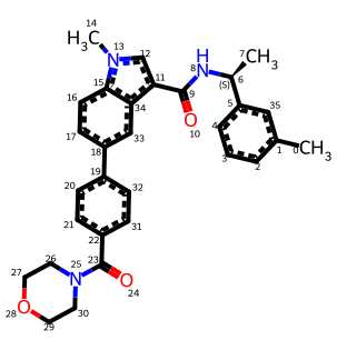 Cc1cccc([C@H](C)NC(=O)c2cn(C)c3ccc(-c4ccc(C(=O)N5CCOCC5)cc4)cc23)c1